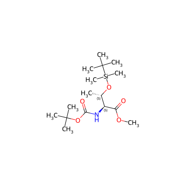 COC(=O)[C@@H](NC(=O)OC(C)(C)C)[C@H](C)O[Si](C)(C)C(C)(C)C